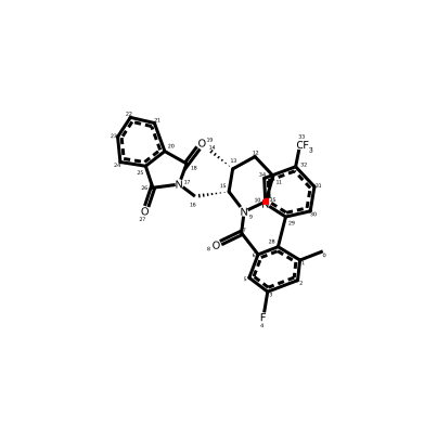 Cc1cc(F)cc(C(=O)N2CCC[C@@H](C)[C@H]2CN2C(=O)c3ccccc3C2=O)c1-c1ccc(C(F)(F)F)cn1